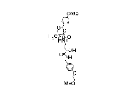 COCCOc1ccc(CNC(=O)C(O)CCNC(=O)[C@@H]2OC(c3ccc(OC)cc3)OCC2(C)C)cc1